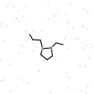 CCCN1CCCB1CC